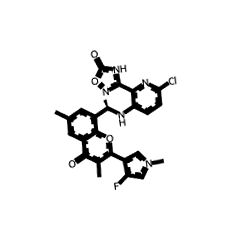 Cc1cc([C@@H](C)Nc2ccc(Cl)nc2-c2noc(=O)[nH]2)c2oc(-c3cn(C)cc3F)c(C)c(=O)c2c1